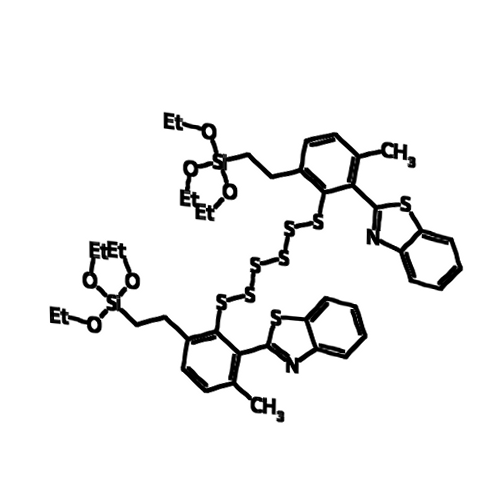 CCO[Si](CCc1ccc(C)c(-c2nc3ccccc3s2)c1SSSSSSc1c(CC[Si](OCC)(OCC)OCC)ccc(C)c1-c1nc2ccccc2s1)(OCC)OCC